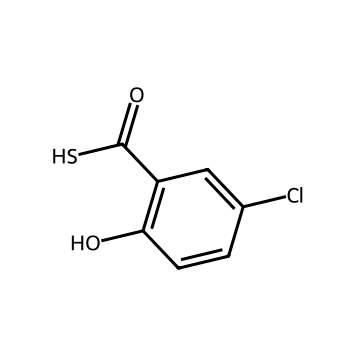 O=C(S)c1cc(Cl)ccc1O